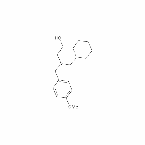 COc1ccc(CN(CCO)CC2CCCCC2)cc1